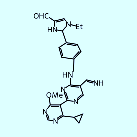 CCN1C=C(C=O)NC1c1ccc(CNc2nc(-c3c(OC)ncnc3C3CC3)ncc2C=N)cc1